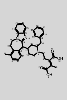 C/C(C(=O)O)=C(/CCN1CCC(C2c3cccc(C)c3CCn3c2nc2ccccc23)CC1Cc1ccccc1)C(=O)O